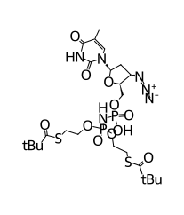 Cc1cn([C@H]2C[C@@H](N=[N+]=[N-])[C@@H](COP(=O)(O)NP(=O)(OCCSC(=O)C(C)(C)C)OCCSC(=O)C(C)(C)C)O2)c(=O)[nH]c1=O